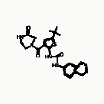 CC(C)(C)c1cc(C(=O)N2[CH]C(=O)NCC2)c(NC(=O)Nc2ccc3ccccc3c2)s1